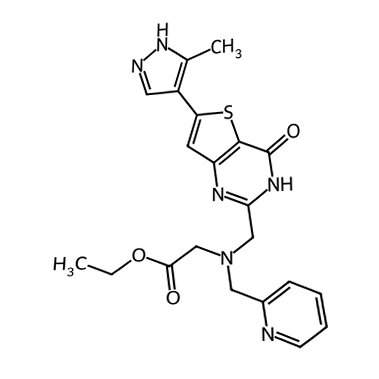 CCOC(=O)CN(Cc1ccccn1)Cc1nc2cc(-c3cn[nH]c3C)sc2c(=O)[nH]1